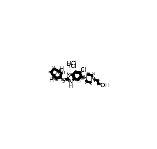 Cl.Cl.OCCN1CCN(c2cc3[nH]c(S[C@H]4C[C@H]5CC[C@@H](C4)O5)nc3cc2Cl)CC1